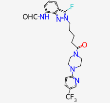 O=CNc1cccc2c(F)n(CCCCC(=O)N3CCN(c4ccc(C(F)(F)F)cn4)CC3)nc12